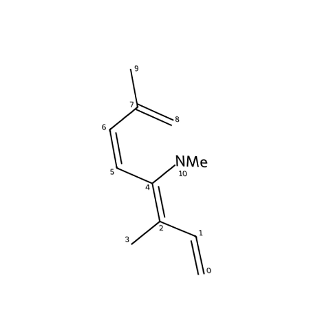 C=C/C(C)=C(/C=C\C(=C)C)NC